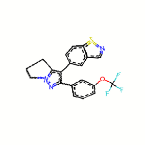 FC(F)(F)Oc1cccc(-c2nn3c(c2-c2ccc4sncc4c2)CCC3)c1